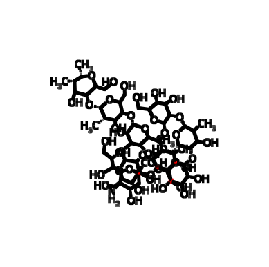 CC1C(O)[C@H](O[C@@H]2OC(CO[C@]3(C(=O)O)C[C@@H](O)[C@@H](N)C(C(O)[C@H](O)CO)O3)[C@H](O)C(O)[C@@H]2O)[C@H](CO)O[C@H]1O[C@@H]1C(O)[C@H](O)C(CO)O[C@@H]1OCC1O[C@@H](O[C@@H]2C(CO)O[C@@H](O[C@@H]3C(CO)O[C@@H](C)[C@@H](C)C3O)[C@@H](C)C2O)[C@H](O)C(OC2O[C@H](CO)[C@@H](O)C(O)C2O[C@@H]2OC(CO)[C@@H](O)C(O)[C@@H]2C)[C@@H]1O